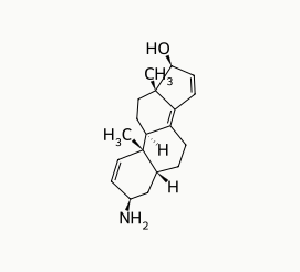 C[C@]12C=C[C@H](N)C[C@H]1CCC1=C3C=C[C@H](O)[C@@]3(C)CC[C@@H]12